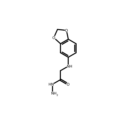 NNC(=O)CNc1ccc2c(c1)OCO2